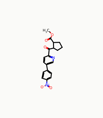 COC(=O)C1CCCC1C(=O)c1ccc(-c2ccc([N+](=O)[O-])cc2)cn1